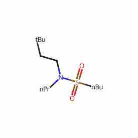 CCCCS(=O)(=O)N(CCC)CCC(C)(C)C